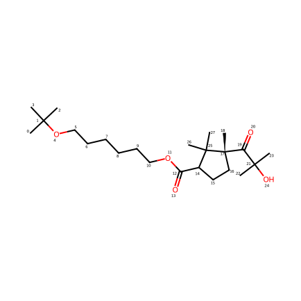 CC(C)(C)OCCCCCCOC(=O)C1CC[C@@](C)(C(=O)C(C)(C)O)C1(C)C